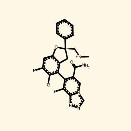 CNC[C@@]1(c2ccccc2)Cc2c(cc(F)c(Cl)c2-c2c(C(N)=O)cn3cnnc3c2F)O1